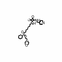 O=C(CCCCCCNc1c(NCc2ccncc2)c(=O)c1=O)N(OCCN1CCOCC1)C1CCCCC1